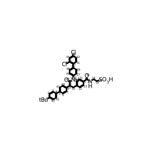 CC(C)(C)c1ccc(-c2ccc(C(Cc3ccc(C(=O)NCCS(=O)(=O)O)cc3)C(=O)Nc3ccc(-c4ccc(Cl)cc4Cl)cc3)cc2)cc1